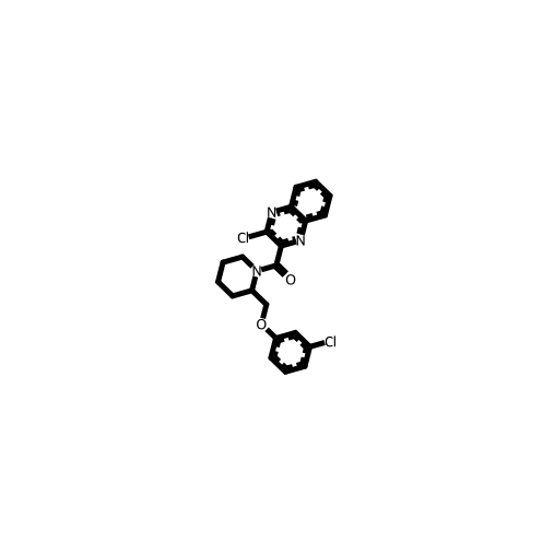 O=C(c1nc2ccccc2nc1Cl)N1CCCCC1COc1cccc(Cl)c1